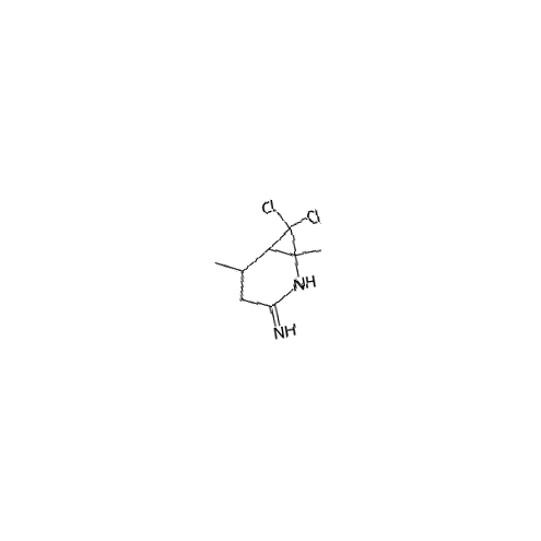 CC1CC(=N)NC2(C)C1C2(Cl)Cl